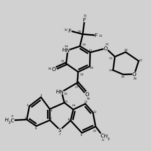 Cc1ccc2c(c1)Sc1cc(C)ccc1C2NC(=O)c1cc(OC2CCOCC2)c(C(F)(F)F)[nH]c1=O